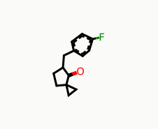 O=C1C(Cc2ccc(F)cc2)CCC12CC2